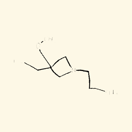 CCCN1CC(CC)(OC)C1